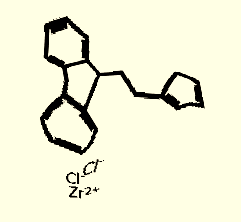 C1=CCC(CCC2c3ccccc3-c3ccccc32)=C1.[Cl-].[Cl-].[Zr+2]